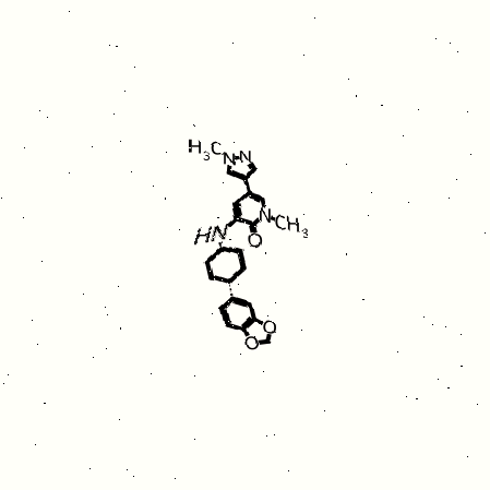 Cn1cc(-c2cc(N[C@H]3CC[C@@H](c4ccc5c(c4)OCO5)CC3)c(=O)n(C)c2)cn1